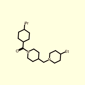 CCC1CCN(CC2CCN(C(=O)C3CCC(C(C)C)CC3)CC2)CC1